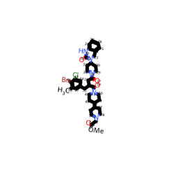 COC(=O)CN1CCC(C2CCN(C(=O)C(CC(=O)N3CCC(N4Cc5ccccc5NC4=O)CC3)Cc3cc(C)c(Br)c(Cl)c3)CC2)CC1